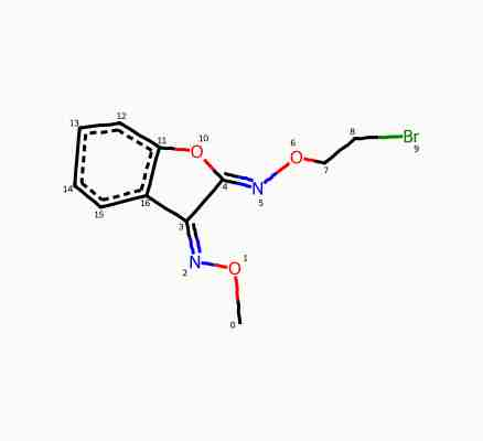 CON=C1C(=NOCCBr)Oc2ccccc21